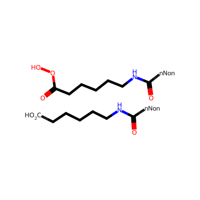 CCCCCCCCCC(=O)NCCCCCC(=O)O.CCCCCCCCCC(=O)NCCCCCC(=O)OO